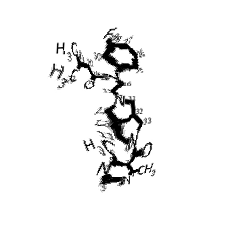 Cc1ncnc(C)c1C(=O)N1CC2CN(CCN(C(=O)CC(C)C)c3cccc(F)c3)CC2C1